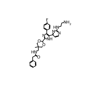 CC1(CNC(=O)Cc2ccccc2)COC(c2nc(-c3ccc(F)cc3)c(-c3ccnc(NCCN)n3)[nH]2)OC1